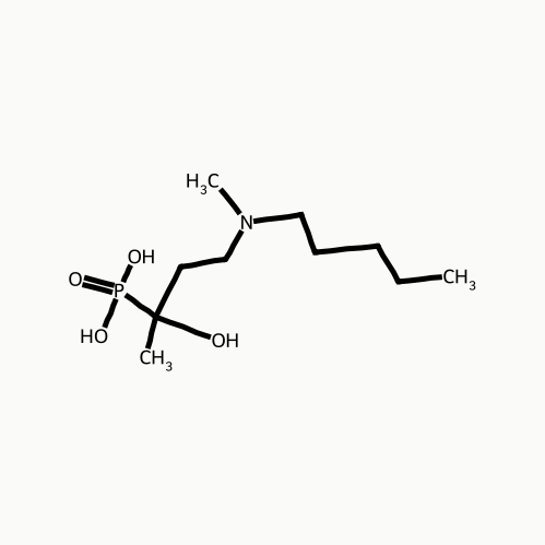 CCCCCN(C)CCC(C)(O)P(=O)(O)O